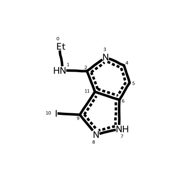 CCNc1nccc2[nH]nc(I)c12